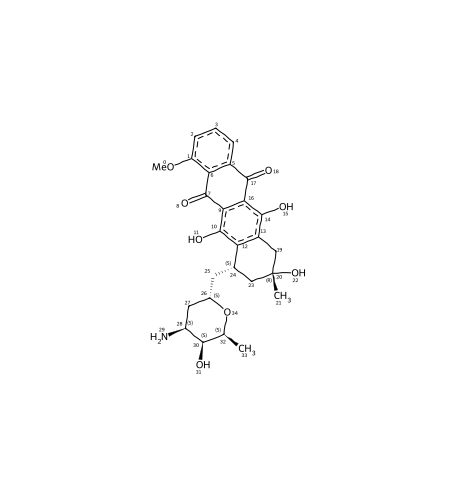 COc1cccc2c1C(=O)c1c(O)c3c(c(O)c1C2=O)C[C@](C)(O)C[C@@H]3C[C@H]1C[C@H](N)[C@H](O)[C@H](C)O1